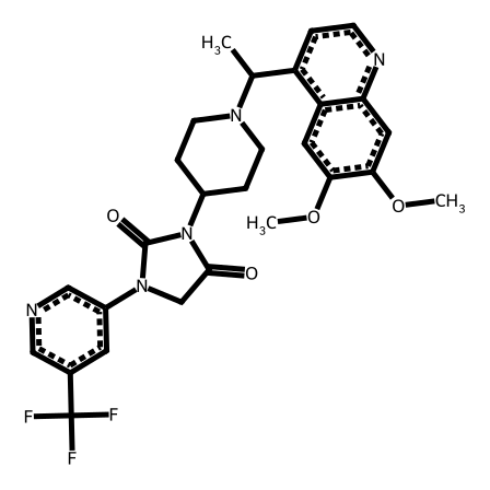 COc1cc2nccc(C(C)N3CCC(N4C(=O)CN(c5cncc(C(F)(F)F)c5)C4=O)CC3)c2cc1OC